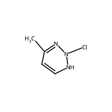 CC1=NN(Cl)N[C]=C1